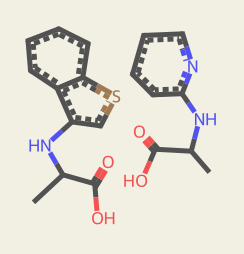 CC(Nc1ccccn1)C(=O)O.CC(Nc1csc2ccccc12)C(=O)O